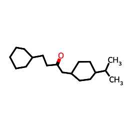 CC(C)C1CCC(CC(=O)CCC2CCCCC2)CC1